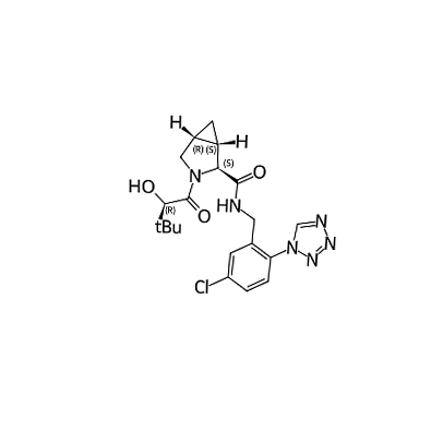 CC(C)(C)[C@@H](O)C(=O)N1C[C@@H]2C[C@@H]2[C@H]1C(=O)NCc1cc(Cl)ccc1-n1cnnn1